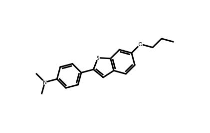 CCCOc1ccc2cc(-c3ccc(N(C)C)cc3)sc2c1